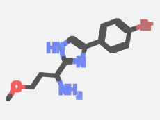 COCCC(N)c1nc(-c2ccc(Br)cc2)c[nH]1